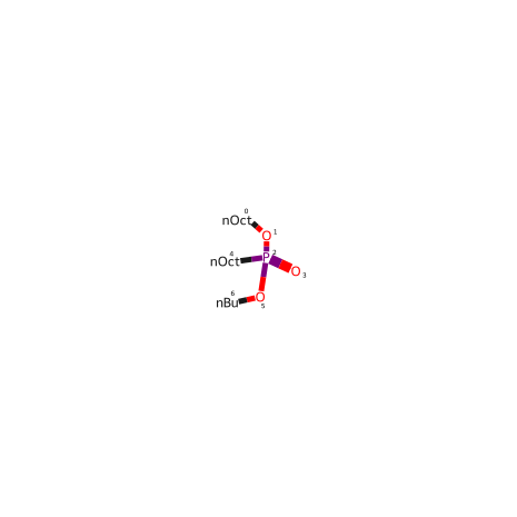 CCCCCCCCOP(=O)(CCCCCCCC)OCCCC